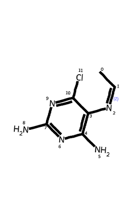 C/C=N\c1c(N)nc(N)nc1Cl